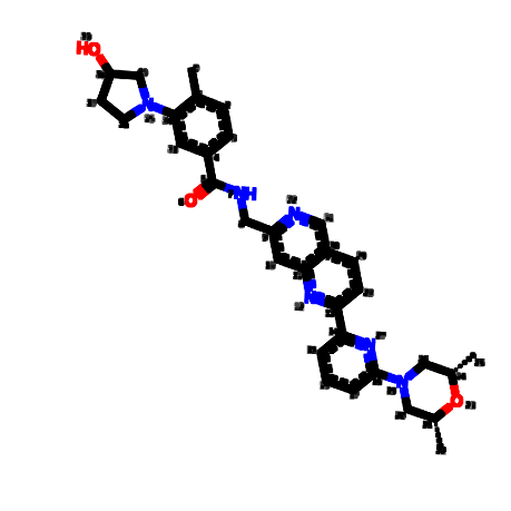 Cc1ccc(C(=O)NCc2cc3nc(-c4cccc(N5C[C@@H](C)O[C@@H](C)C5)n4)ccc3cn2)cc1N1CCC(O)C1